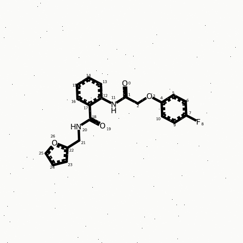 O=C(COc1ccc(F)cc1)Nc1ccccc1C(=O)NCc1ccco1